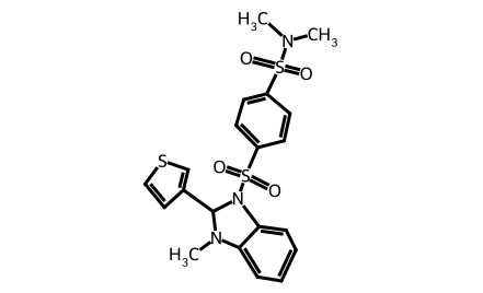 CN1c2ccccc2N(S(=O)(=O)c2ccc(S(=O)(=O)N(C)C)cc2)C1c1ccsc1